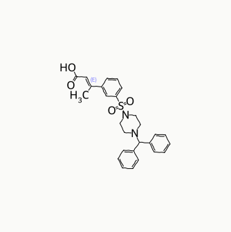 C/C(=C\C(=O)O)c1cccc(S(=O)(=O)N2CCN(C(c3ccccc3)c3ccccc3)CC2)c1